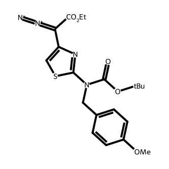 CCOC(=O)C(=[N+]=[N-])c1csc(N(Cc2ccc(OC)cc2)C(=O)OC(C)(C)C)n1